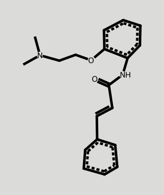 CN(C)CCOc1ccccc1NC(=O)C=Cc1ccccc1